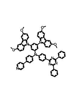 COc1ccc2c(c1)c1cc(OC)ccc1n2-c1cc(N(c2ccc(-c3ccncc3)cc2)c2ccc(-c3nc(-c4ccccc4)nc(-c4ccccc4)n3)cc2)cc(-n2c3ccc(OC)cc3c3cc(OC)ccc32)c1